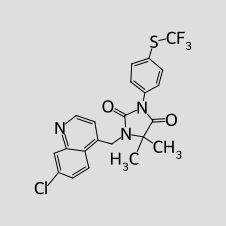 CC1(C)C(=O)N(c2ccc(SC(F)(F)F)cc2)C(=O)N1Cc1ccnc2cc(Cl)ccc12